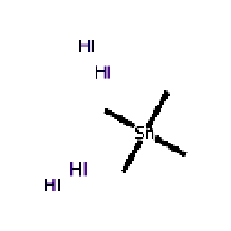 I.I.I.I.[CH3][Sn]([CH3])([CH3])[CH3]